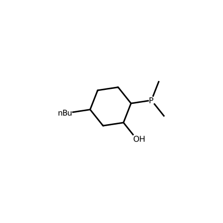 CCCCC1CCC(P(C)C)C(O)C1